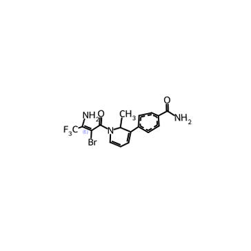 CC1C(c2ccc(C(N)=O)cc2)=CC=CN1C(=O)/C(Br)=C(\N)C(F)(F)F